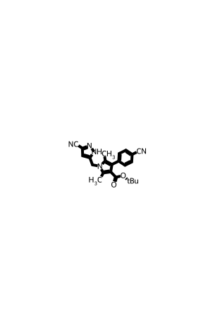 Cc1c(C(=O)OC(C)(C)C)c(-c2ccc(C#N)cc2)c(C)n1Cc1cc(C#N)n[nH]1